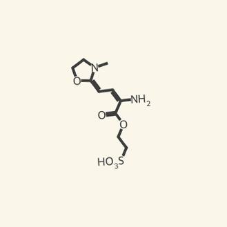 CN1CCO/C1=C/C=C(/N)C(=O)OCCS(=O)(=O)O